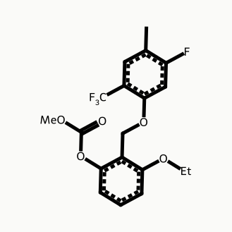 CCOc1cccc(OC(=O)OC)c1COc1cc(F)c(C)cc1C(F)(F)F